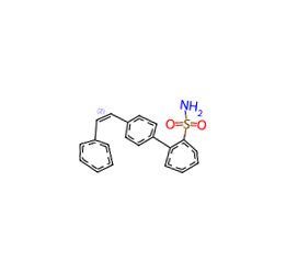 NS(=O)(=O)c1ccccc1-c1ccc(/C=C\c2ccccc2)cc1